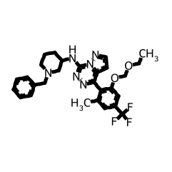 CCOCOc1cc(C(F)(F)F)cc(C)c1-c1nnc(NC2CCCN(Cc3ccccc3)C2)n2nccc12